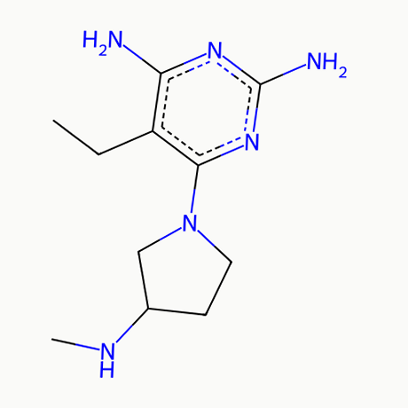 CCc1c(N)nc(N)nc1N1CCC(NC)C1